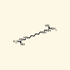 N=C(N)NCNCCCCCCNCNC(=N)N